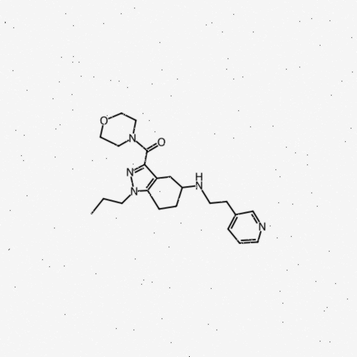 CCCn1nc(C(=O)N2CCOCC2)c2c1CCC(NCCc1cccnc1)C2